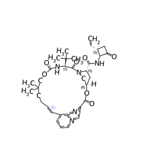 C=C[C@@H]1CC(=O)C1NC(=O)[C@@H]1C[C@@H]2CN1C(=O)[C@H](C(C)(C)C)NC(=O)OCC(C)(C)CC/C=C/c1cccn3cc(nc13)C(=O)O2